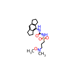 CON(C)CCCS(=O)(=O)NC(=O)Nc1c2c(cc3c1CCC3)CCC2